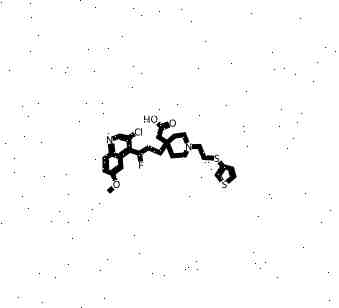 COc1ccc2ncc(Cl)c(C(F)CCC3(CC(=O)O)CCN(CCSc4ccsc4)CC3)c2c1